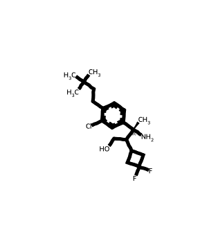 CC(C)(C)CCc1ccc([C@](C)(N)C(CO)C2CC(F)(F)C2)cc1Cl